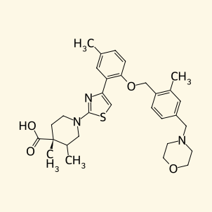 Cc1ccc(OCc2ccc(CN3CCOCC3)cc2C)c(-c2csc(N3CC[C@@](C)(C(=O)O)C(C)C3)n2)c1